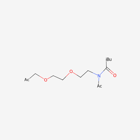 CCC(C)C(=O)N(CCOCCOCC(C)=O)C(C)=O